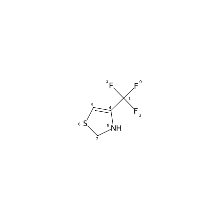 FC(F)(F)C1=CSCN1